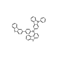 c1ccc(-n2c3ccccc3c3cc(N(c4ccc(-c5ccc6sc7ccccc7c6c5)cc4)c4cccc5sc6ccccc6c45)ccc32)cc1